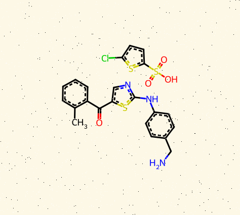 Cc1ccccc1C(=O)c1cnc(Nc2ccc(CN)cc2)s1.O=S(=O)(O)c1ccc(Cl)s1